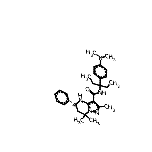 CCC(CC)(NC(=O)c1c(C)nn2c1N[C@@H](c1ccccc1)CC2(C)C)c1ccc(N(C)C)cc1